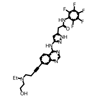 CCN(CCO)CCC#Cc1ccc2c(Nc3cc(CC(=O)Nc4c(F)c(F)c(F)c(F)c4F)[nH]n3)ncnc2c1